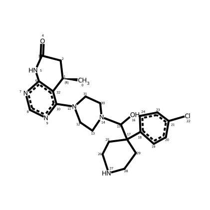 C[C@@H]1CC(=O)Nc2ncnc(N3CCN(C(O)C4(c5ccc(Cl)cc5)CCNCC4)CC3)c21